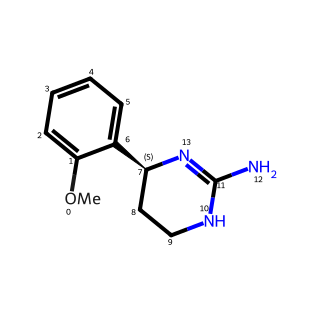 COc1ccccc1[C@@H]1CCNC(N)=N1